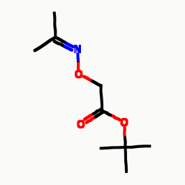 CC(C)=NOCC(=O)OC(C)(C)C